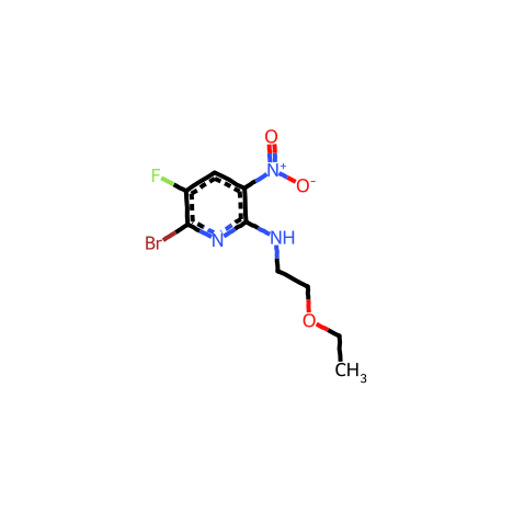 CCOCCNc1nc(Br)c(F)cc1[N+](=O)[O-]